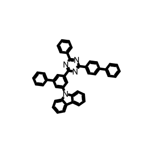 c1ccc(-c2ccc(-c3nc(-c4ccccc4)nc(-c4cc(-c5ccccc5)cc(-n5c6ccccc6c6ccccc65)c4)n3)cc2)cc1